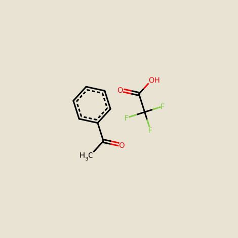 CC(=O)c1ccccc1.O=C(O)C(F)(F)F